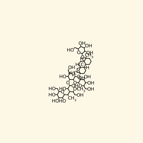 C=C1C[C@@]23CC[C@@H]4C(C)(OC5OC(CO)C(O)C(O)C5O)CCC[C@@]4(C)[C@@H]2CC[C@]1(OC1OC(CO)C(O)C(OC(O)C(O)C(C(CO)OC)[C@@H](C)C2OC(CO)C(O)C(O)C2O)C1OC1OC(CO)C(O)C(O)C1O)C3